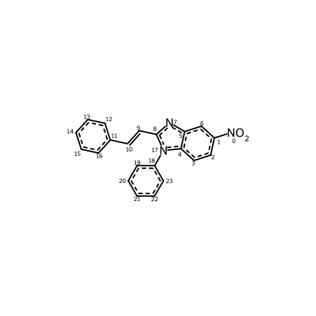 O=[N+]([O-])c1ccc2c(c1)nc(/C=C/c1ccccc1)n2-c1ccccc1